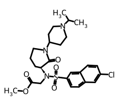 COC(=O)CN([C@H]1CCCN(C2CCN(C(C)C)CC2)C1=O)S(=O)(=O)c1ccc2cc(Cl)ccc2c1